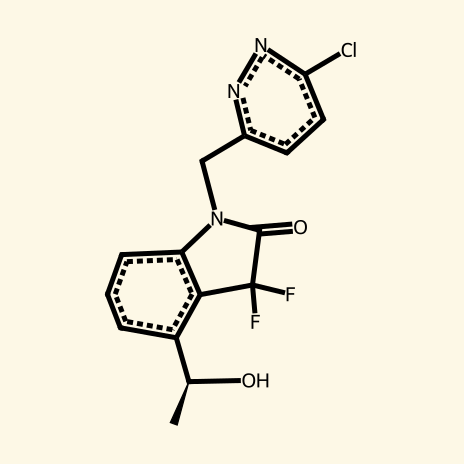 C[C@H](O)c1cccc2c1C(F)(F)C(=O)N2Cc1ccc(Cl)nn1